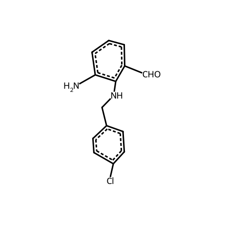 Nc1cccc(C=O)c1NCc1ccc(Cl)cc1